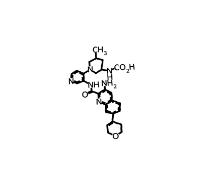 CC1CC(NC(=O)O)CN(c2ccncc2NC(=O)c2nc3cc(C4=CCOCC4)ccc3cc2N)C1